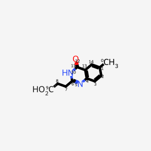 Cc1ccc2nc(CCC(=O)O)[nH]c(=O)c2c1